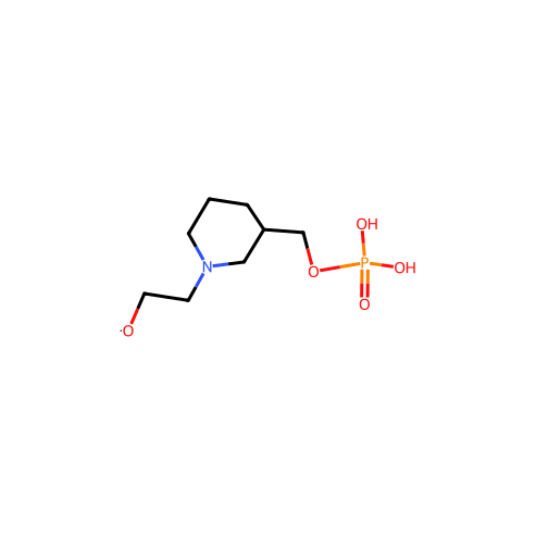 [O]CCN1CCCC(COP(=O)(O)O)C1